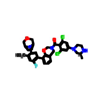 C[C@H]1CN(c2cc(Cl)c(C(=O)N3COc4c(cccc4-c4cc(N5C6CCC5COC6)c(C(=O)O)cc4F)C3)c(Cl)c2)CCN1